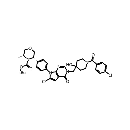 C[C@@H]1COC[C@H](c2ccc(-n3c(Cl)cc4c(=O)n(CC5(O)CCN(C(=O)c6ccc(Cl)cc6)CC5)cnc43)cc2)N1C(=O)OC(C)(C)C